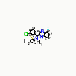 CC1(C)N=C(c2cnc3c(F)cccc3n2)c2cccc(Cl)c2S1